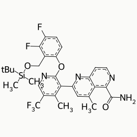 Cc1c(C(F)(F)F)cnc(Oc2ccc(F)c(F)c2CO[Si](C)(C)C(C)(C)C)c1-c1cc(C)c2c(C(N)=O)nccc2n1